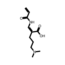 C=CC(=O)NC=C(CCCN(C)C)C(=O)O